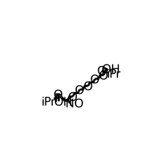 CC(C)CP(=O)(O)CCC(COCCOCCOCCOCCOP(=O)(O)C(C)C)N=O